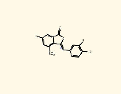 N#Cc1ccc(/C=C2\OC(=O)c3cc(F)cc([N+](=O)[O-])c32)cc1F